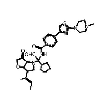 CN1CCN(c2nc(-c3ccc(C(=O)NC(C=O)(C4CCCC4)N4CC(/C(F)=C/F)C5OCC(=O)C54)cc3)cs2)CC1